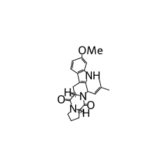 COc1ccc2c3c([nH]c2c1)C(C=C(C)C)N1C(=O)[C@@H]2CCCN2C(=O)[C@@H]1C3